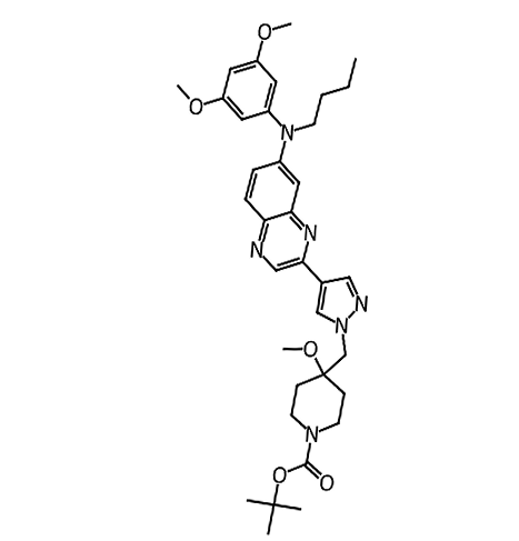 CCCCN(c1cc(OC)cc(OC)c1)c1ccc2ncc(-c3cnn(CC4(OC)CCN(C(=O)OC(C)(C)C)CC4)c3)nc2c1